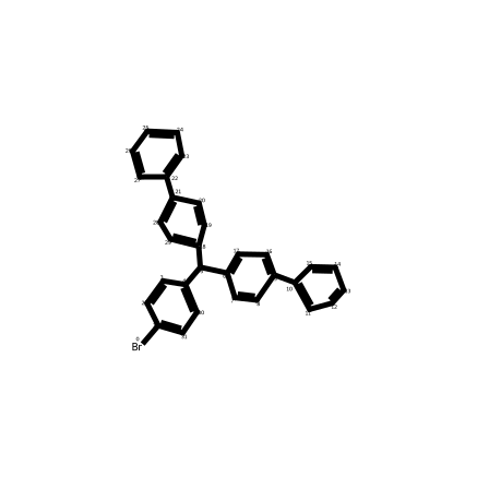 Brc1ccc(C(c2ccc(-c3ccccc3)cc2)c2ccc(-c3ccccc3)cc2)cc1